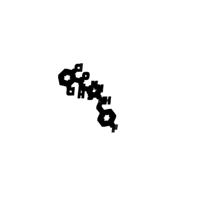 O=C(Nc1nnc(NCc2ccc(F)cc2)s1)c1c(Cl)cccc1Cl